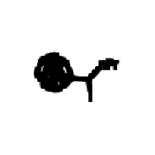 CCCC(I)[C]12[CH]3[CH]4[CH]5[CH]1[Fe]45321678[CH]2[CH]1[CH]6[CH]7[CH]28